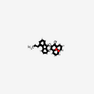 CCCc1cccc2c1-c1ccccc1C2OC(C(=O)c1ccccc1)C(=O)c1ccccc1